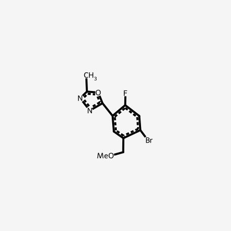 COCc1cc(-c2nnc(C)o2)c(F)cc1Br